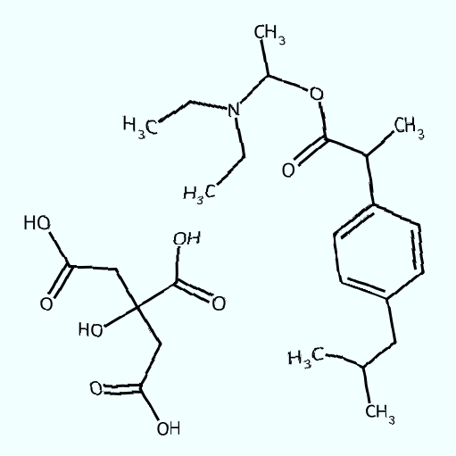 CCN(CC)C(C)OC(=O)C(C)c1ccc(CC(C)C)cc1.O=C(O)CC(O)(CC(=O)O)C(=O)O